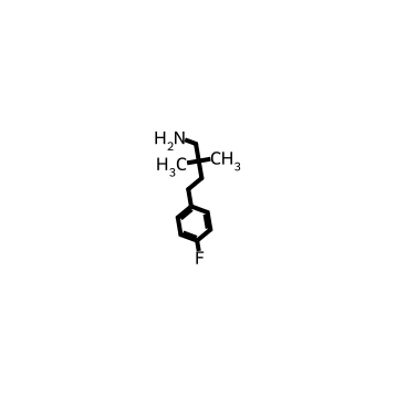 CC(C)(CN)CCc1ccc(F)cc1